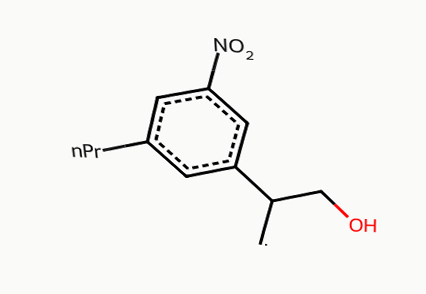 [CH2]C(CO)c1cc(CCC)cc([N+](=O)[O-])c1